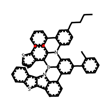 CCCCc1ccc(N2c3cc(-c4ccccc4C)cc4c3B(c3c2ccc2sc5ccccc5c32)n2c3c-4cccc3c3sc4ccccc4c32)c(-c2ccccc2)c1